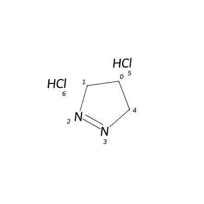 C1CN=NC1.Cl.Cl